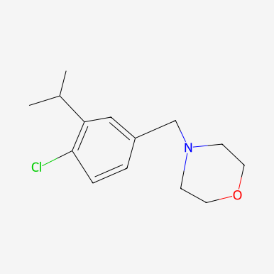 CC(C)c1cc(CN2CCOCC2)ccc1Cl